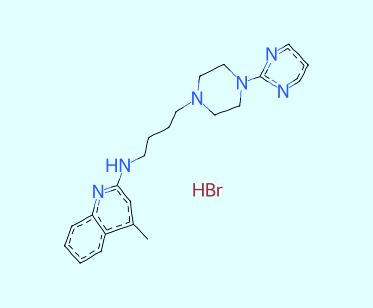 Br.Cc1cc(NCCCCN2CCN(c3ncccn3)CC2)nc2ccccc12